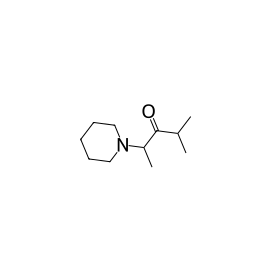 CC(C)C(=O)C(C)N1CCCCC1